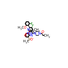 C=CC(=O)N1CCN(/C(=N/c2c(C(C)C)cccc2[S+](C)[O-])c2cc(F)c(-c3c(F)cccc3OC)nc2NC=O)C(C)C1